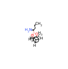 C=CC[C@H](N)B1O[C@@H]2C[C@@H]3C[C@@H](C3(C)C)[C@]2(C)O1